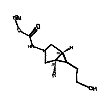 CCCCOC(=O)NN1C[C@@H]2C(CCO)[C@@H]2C1